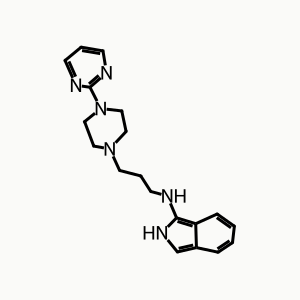 c1cnc(N2CCN(CCCNc3[nH]cc4ccccc34)CC2)nc1